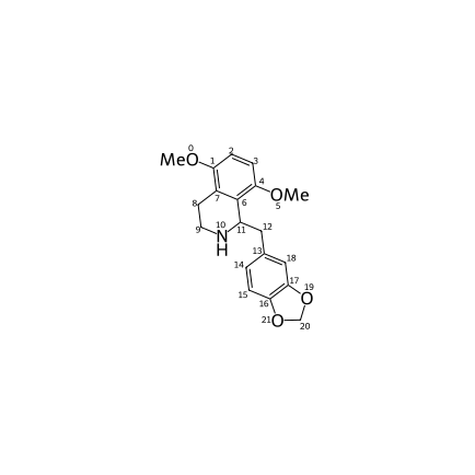 COc1ccc(OC)c2c1CCNC2Cc1ccc2c(c1)OCO2